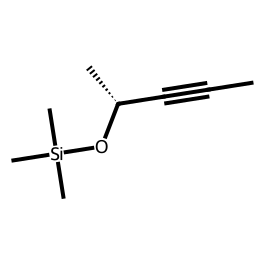 CC#C[C@@H](C)O[Si](C)(C)C